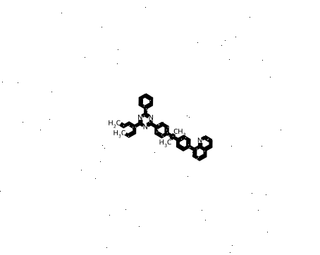 C=C/C=C(\C=C/C)c1nc(-c2ccccc2)nc(-c2ccc(C(C)(C)c3ccc(-c4cccc5cccnc45)cc3)cc2)n1